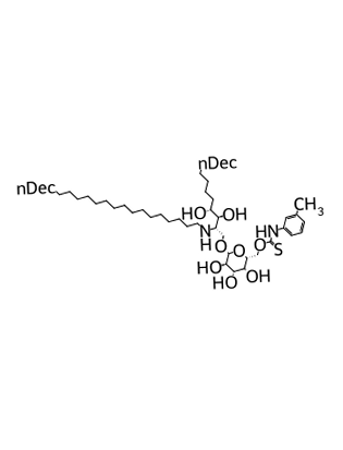 CCCCCCCCCCCCCCCCCCCCCCCCCCN[C@@H](CO[C@@H]1O[C@H](COC(=S)Nc2cccc(C)c2)[C@H](O)[C@H](O)[C@H]1O)[C@H](O)[C@H](O)CCCCCCCCCCCCCC